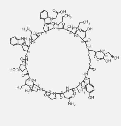 C#CC[C@H](NC(=O)CC1CSCC(=O)N[C@@H](Cc2ccc(O)cc2)C(=O)N(C)[C@@H](C)C(=O)N[C@@H](CC(N)=O)C(=O)N2CCC[C@H]2C(=O)N[C@@H](CN)C(=O)N[C@@H](CC(C)C)C(=O)N2C[C@H](O)C[C@H]2C(=O)N[C@@H](Cc2c[nH]c3ccccc23)C(=O)N[C@@H](CCN)C(=O)N[C@@H](Cc2cn(CC(=O)O)c3ccccc23)C(=O)N(C)[C@@H](CCCC)C(=O)N(C)[C@@H](CCCC)C(=O)N[C@@H](CC(=O)O)C(=O)N1)C(=O)O